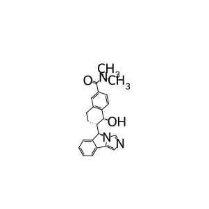 CN(C)C(=O)c1ccc2c(c1)CC[C@@H]([C@@H]1c3ccccc3-c3cncn31)[C@@H]2O